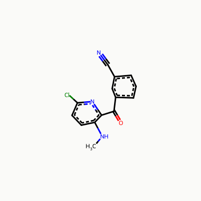 CNc1ccc(Cl)nc1C(=O)c1cccc(C#N)c1